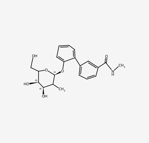 CNC(=O)c1cccc(-c2ccccc2O[C@@H]2OC(CO)[C@H](O)[C@H](O)C2C)c1